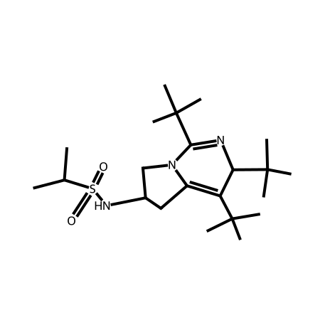 CC(C)S(=O)(=O)NC1CC2=C(C(C)(C)C)C(C(C)(C)C)N=C(C(C)(C)C)N2C1